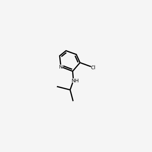 CC(C)Nc1ncccc1Cl